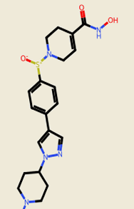 CN1CCC(n2cc(-c3ccc([S+]([O-])N4CC=C(C(=O)NO)CC4)cc3)cn2)CC1